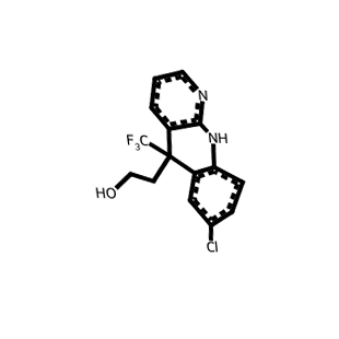 OCCC1(C(F)(F)F)c2cc(Cl)ccc2Nc2ncccc21